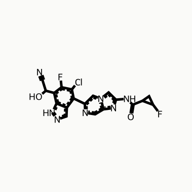 N#CC(O)c1c(F)c(Cl)c(-c2cn3cc(NC(=O)C4CC4F)nc3cn2)c2cn[nH]c12